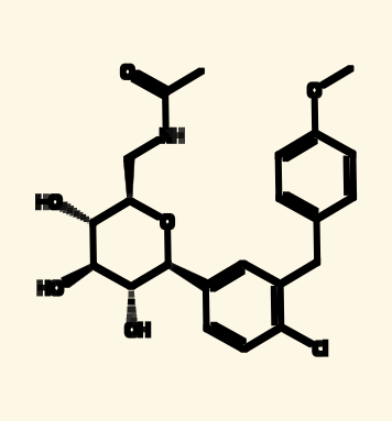 COc1ccc(Cc2cc([C@@H]3O[C@H](CNC(C)=O)[C@@H](O)[C@H](O)[C@H]3O)ccc2Cl)cc1